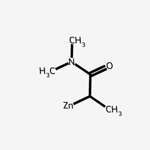 C[CH]([Zn])C(=O)N(C)C